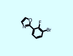 Fc1c(Br)cccc1-c1ncco1